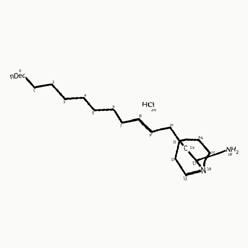 CCCCCCCCCCCCCCCCCCCCC12CCN(CC1)C(N)C2.Cl